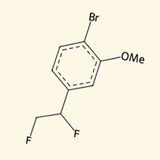 COc1cc(C(F)CF)ccc1Br